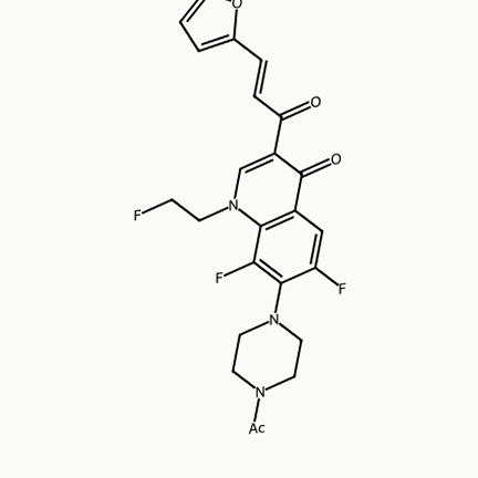 CC(=O)N1CCN(c2c(F)cc3c(=O)c(C(=O)C=Cc4ccco4)cn(CCF)c3c2F)CC1